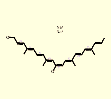 CC=C/C(C)=C/C=C/C(C)=C/C=C([O-])\C=C(C)\C=C\C=C(C)\C=C\C[O-].[Na+].[Na+]